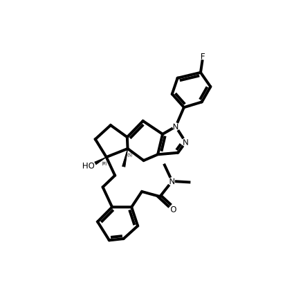 CN(C)C(=O)Cc1ccccc1CC[C@]1(O)CCC2=Cc3c(cnn3-c3ccc(F)cc3)C[C@@]21C